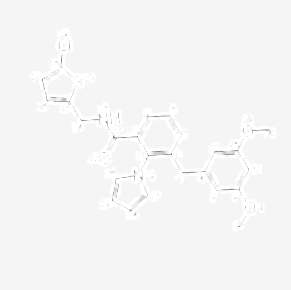 COc1cc(Cc2cccc(C(=O)NCc3ccc(Cl)s3)c2-n2cccc2)cc(OC)c1